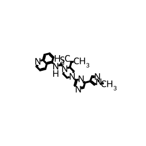 CC(C)C1CN(c2cncc(-c3cnn(C)c3)n2)CCN1C(=S)Nc1cccc2ncccc12